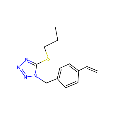 C=Cc1ccc(Cn2nnnc2SCCC)cc1